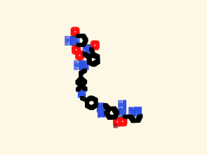 COc1cc2nn([C@H]3CC[C@H](CN4CC5(CC(CCNc6cccc7c6C(=O)N(C6CCC(=O)NC6=O)C7=O)C5)C4)CC3)cc2cc1NC(=O)c1cccnn1